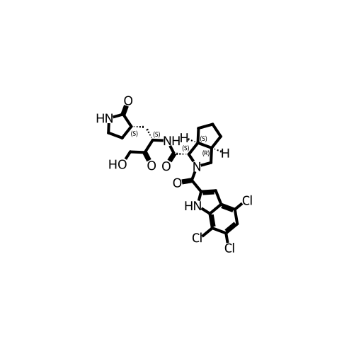 O=C1NCC[C@H]1C[C@H](NC(=O)[C@@H]1[C@H]2CCC[C@H]2CN1C(=O)c1cc2c(Cl)cc(Cl)c(Cl)c2[nH]1)C(=O)CO